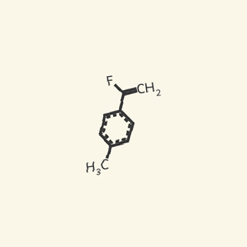 C=C(F)c1ccc(C)cc1